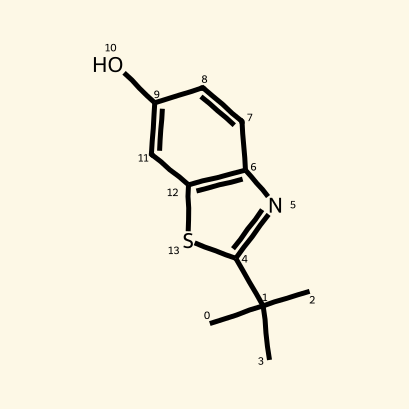 CC(C)(C)c1nc2ccc(O)cc2s1